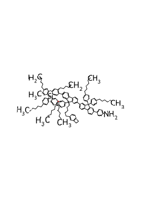 C=CCCCc1cc2c(cc1C)[Si](c1ccc(CCCCCC)cc1)(c1ccc(CCCCCC)cc1)c1cc(-c3ccc4c(c3)C(CCCCCc3ccc5c(c3)CC5)(c3ccc(CCCCCC)cc3)c3cc(-c5ccc6c(c5)C(c5ccc(CCCCCC)cc5)(c5ccc(CCCCCC)cc5)c5cc(-c7ccc(N)cc7)ccc5-6)ccc3-4)c(CCCC=C)cc1-2